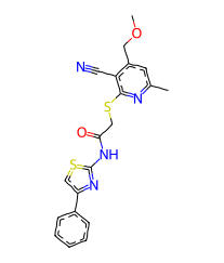 COCc1cc(C)nc(SCC(=O)Nc2nc(-c3ccccc3)cs2)c1C#N